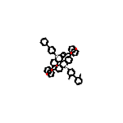 Cc1ccccc1-c1ccc(N2c3ccc(-c4ccccc4)cc3C3(c4cc(-c5ccccc5)ccc4N(c4ccc(-c5ccccc5)cc4)c4ccc(-c5ccccc5)cc43)c3cc(-c4ccccc4)ccc32)cc1C